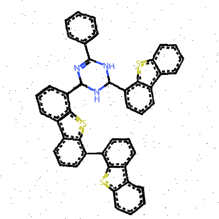 c1ccc(C2=NC(c3cccc4c3sc3c(-c5cccc6c5sc5ccccc56)cccc34)NC(c3cccc4c3sc3ccccc34)N2)cc1